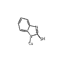 Sc1nc2ccccc2[n]1[Cu]